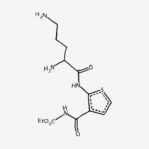 CCOC(=O)NC(=O)c1ccsc1NC(=O)C(N)CCCN